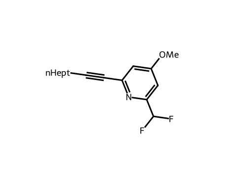 CCCCCCCC#Cc1cc(OC)cc(C(F)F)n1